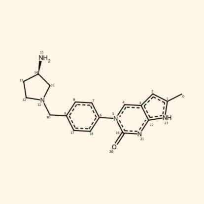 Cc1cc2cn(-c3ccc(CN4CC[C@@H](N)C4)cc3)c(=O)nc2[nH]1